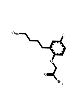 CCCCCCCCCCCCCCc1cc(Cl)ccc1OCC(N)=O